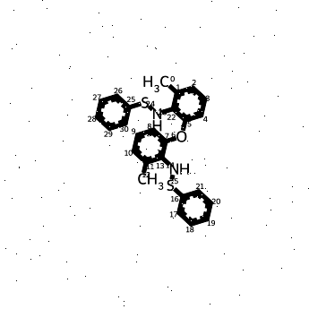 Cc1cccc(Oc2cccc(C)c2NSc2ccccc2)c1NSc1ccccc1